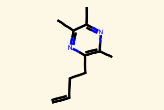 C=CCCc1nc(C)c(C)nc1C